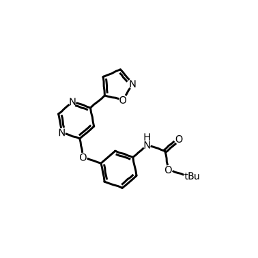 CC(C)(C)OC(=O)Nc1cccc(Oc2cc(-c3ccno3)ncn2)c1